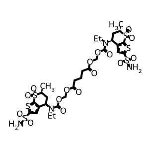 CCN(C(=O)OCOC(=O)CCCC(=O)OCOC(=O)N(CC)[C@H]1C[C@H](C)S(=O)(=O)c2sc(S(N)(=O)=O)cc21)C1C[C@H](C)S(=O)(=O)c2sc(S(N)(=O)=O)cc21